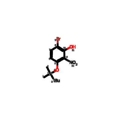 CC(C)(C)[Si](C)(C)Oc1ccc(Br)c(O)c1[N+](=O)[O-]